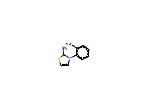 COc1ccccc1N1C=CSC1N